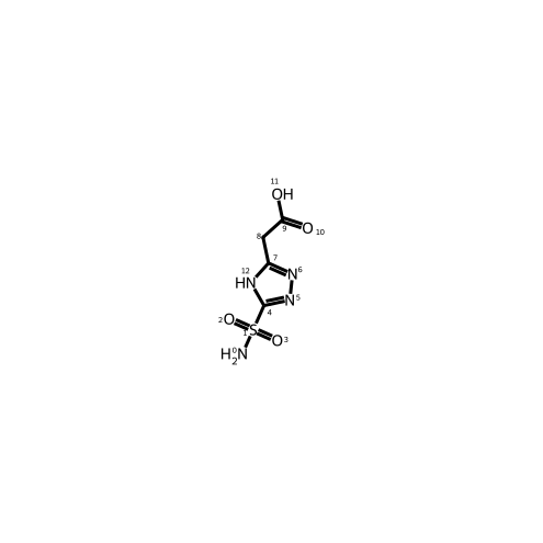 NS(=O)(=O)c1nnc(CC(=O)O)[nH]1